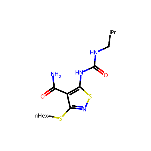 CCCCCCSc1nsc(NC(=O)NCC(C)C)c1C(N)=O